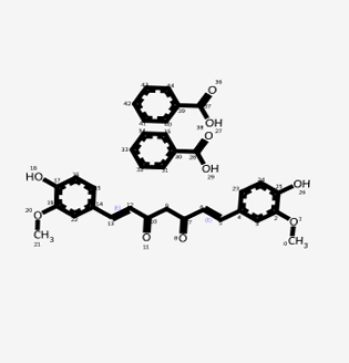 COc1cc(/C=C/C(=O)CC(=O)/C=C/c2ccc(O)c(OC)c2)ccc1O.O=C(O)c1ccccc1.O=C(O)c1ccccc1